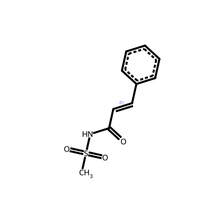 CS(=O)(=O)NC(=O)/C=C/c1ccccc1